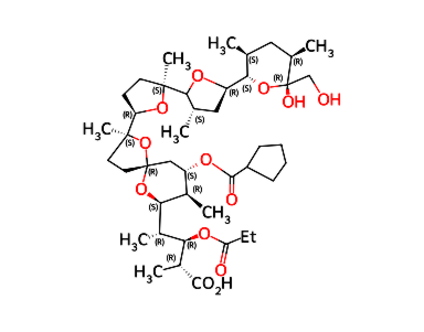 CCC(=O)O[C@H]([C@H](C)[C@H]1O[C@@]2(CC[C@@](C)([C@H]3CC[C@@](C)(C4O[C@@H]([C@H]5O[C@@](O)(CO)[C@H](C)C[C@@H]5C)C[C@@H]4C)O3)O2)C[C@H](OC(=O)C2CCCC2)[C@H]1C)[C@@H](C)C(=O)O